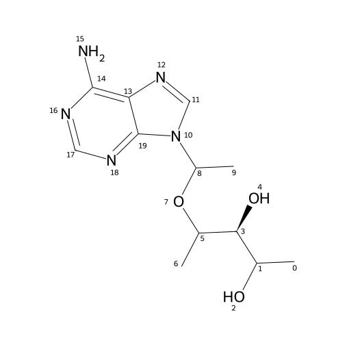 CC(O)[C@H](O)C(C)OC(C)n1cnc2c(N)ncnc21